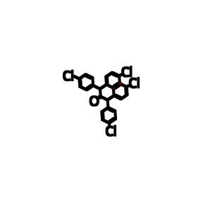 O=C(C(c1ccc(Cl)cc1)c1ccc(Cl)cc1)C(c1ccc(Cl)cc1)c1ccc(Cl)cc1